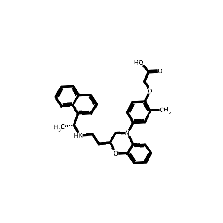 Cc1cc(N2CC(CCN[C@H](C)c3cccc4ccccc34)Oc3ccccc32)ccc1OCC(=O)O